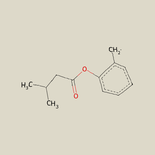 [CH2]c1ccccc1OC(=O)CC(C)C